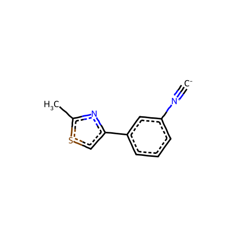 [C-]#[N+]c1cccc(-c2csc(C)n2)c1